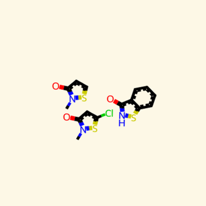 Cn1sc(Cl)cc1=O.Cn1sccc1=O.O=c1[nH]sc2ccccc12